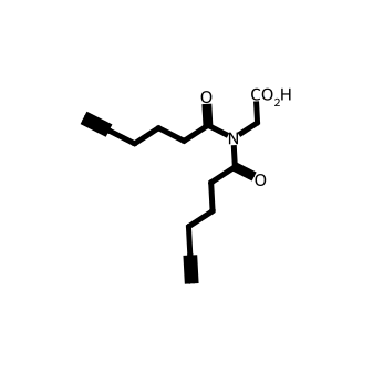 C#CCCCC(=O)N(CC(=O)O)C(=O)CCCC#C